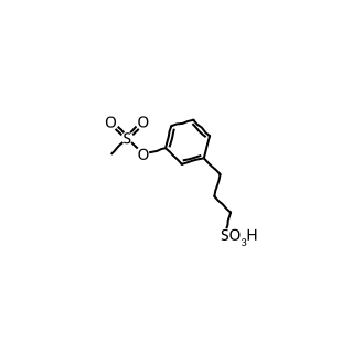 CS(=O)(=O)Oc1cccc(CCCS(=O)(=O)O)c1